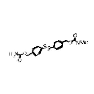 CNC(=O)OCc1ccc(SSc2ccc(COC(N)=O)cc2)cc1